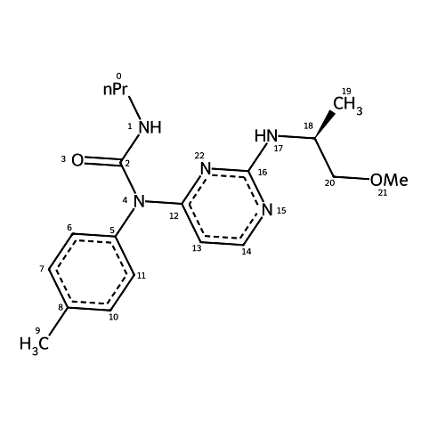 CCCNC(=O)N(c1ccc(C)cc1)c1ccnc(N[C@@H](C)COC)n1